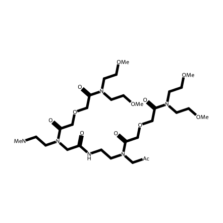 CNCCN(CC(=O)NCCN(CC(C)=O)C(=O)COCC(=O)N(CCOC)CCOC)C(=O)COCC(=O)N(CCOC)CCOC